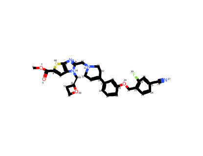 COC(=O)c1cc2c(nc(CN3CC=C(c4cccc(OCc5ccc(C#N)cc5F)c4)CC3)n2C[C@@H]2CCO2)s1